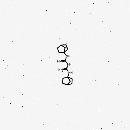 N=C(NC(=N)NC12CCC(CC1)C2)NC12CCC(CC1)C2